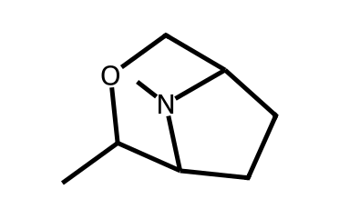 CC1OCC2CCC1N2C